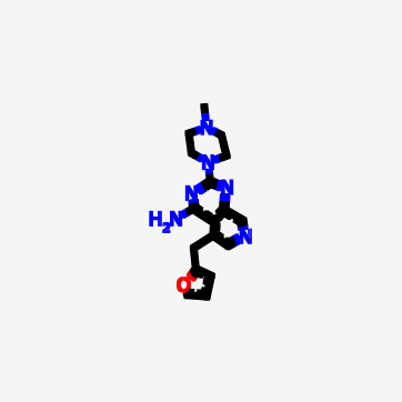 CN1CCN(c2nc(N)c3c(Cc4ccco4)cncc3n2)CC1